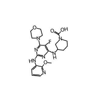 COc1ncccc1Nc1nc(NC2CCCN(C(=O)O)C2)c(F)c(N2CCOCC2)n1